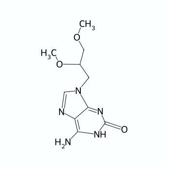 COCC(Cn1cnc2c(N)[nH]c(=O)nc21)OC